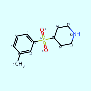 Cc1cccc(S(=O)(=O)C2CCNCC2)c1